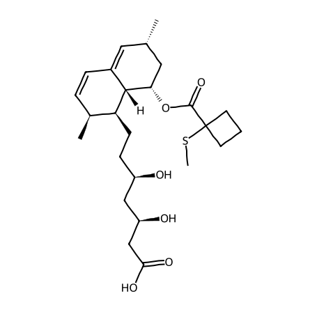 CSC1(C(=O)O[C@H]2C[C@@H](C)C=C3C=C[C@H](C)[C@H](CC[C@@H](O)C[C@@H](O)CC(=O)O)[C@H]32)CCC1